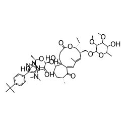 CC[C@H]1OC(=O)C[C@@H](O)[C@@H]2/C(=C\C(C)=C\[C@@H]1COC1OC(C)C(O)C(OC)C1OC)C(=O)[C@H](C)C[C@H](CCn1cc(-c3ccc(C(C)(C)C)cc3)nn1)[C@@H]2O[C@@H]1O[C@H](C)C(O)C(N(C)C)C1O